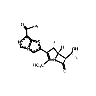 CC(C)C(=O)c1ncn2cc(C3=C(C(=O)O)N4C(=O)[C@H]([C@@H](C)O)[C@H]4[C@H]3C)sc12